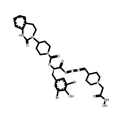 O=C(CN1CCC(C=C=C=NC(=O)[C@@H](Cc2cc(Br)c(O)c(Br)c2)OC(=O)N2CCC(N3CCc4ccccc4NC3=O)CC2)CC1)NO